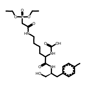 CCOP(=O)(CC(=O)NCCCCC(NC(=O)O)C(=O)N[C@H](CO)Cc1ccc(C)cc1)OCC